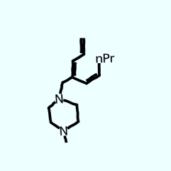 C=C/C=C(\C=C/CCC)CN1CCN(C)CC1